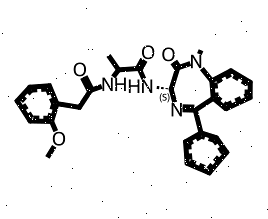 COc1ccccc1CC(=O)NC(C)C(=O)N[C@H]1N=C(c2ccccc2)c2ccccc2N(C)C1=O